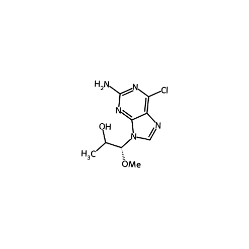 CO[C@H](C(C)O)n1cnc2c(Cl)nc(N)nc21